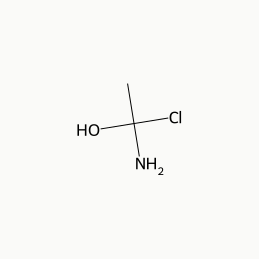 CC(N)(O)Cl